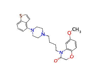 COc1ccc2c(c1)N(CCCCN1CCN(c3cccc4sccc34)CC1)C(=O)CO2